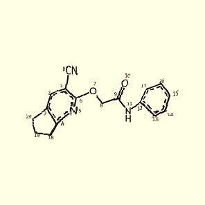 N#Cc1cc2c(nc1OCC(=O)Nc1ccccc1)CCC2